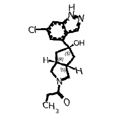 CCC(=O)N1C[C@@H]2C[C@](O)(c3cc(Cl)cc4[nH]ncc34)C[C@@H]2C1